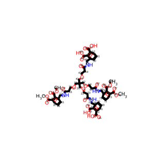 COC(=O)C1=C(C(=O)OC)C2(CNC(=O)CCOCC(COCCC(=O)NCC34C=CC(O3)C(C(=O)O)=C4C(=O)O)(COCCC(=O)NCC34C=CC(O3)C(C(=O)O)=C4C(=O)O)COCCC(=O)NCC34C=CC(O3)C(C(=O)OC)=C4C(=O)OC)C=CC1O2